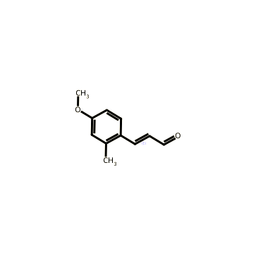 COc1ccc(/C=C/C=O)c(C)c1